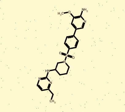 CCc1ccnc(NC2CCCN(S(=O)(=O)c3ccc(-c4cnc(N)c(OC)c4)cc3)C2)n1